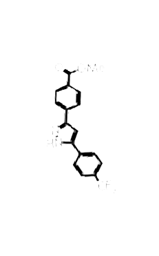 COC(=O)c1ccc(-c2cc(-c3ccc(C(F)(F)F)cc3)[nH]n2)cc1